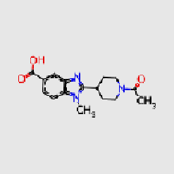 CC(=O)N1CCC(c2nc3cc(C(=O)O)ccc3n2C)CC1